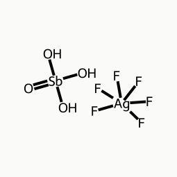 [F][Ag]([F])([F])([F])([F])[F].[O]=[Sb]([OH])([OH])[OH]